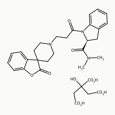 CN(C)C(=O)[C@@H]1Cc2ccccc2N1C(=O)CCN1CCC2(CC1)C(=O)Oc1ccccc12.O=C(O)CC(O)(CC(=O)O)C(=O)O